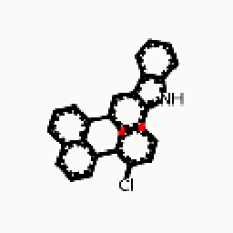 Clc1ccccc1-c1cccc2cccc(-c3ccc4[nH]c5ccccc5c4c3)c12